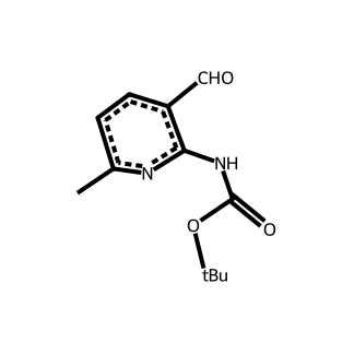 Cc1ccc(C=O)c(NC(=O)OC(C)(C)C)n1